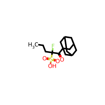 CCCC(F)(C(=O)C12CC3CC(CC(C3)C1)C2)S(=O)(=O)O